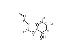 C=CCC[C@@H](C)O[C@@H]1OC(C)[C@H](C)CC1O